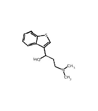 CN(C)CCC(O)c1csc2ccccc12